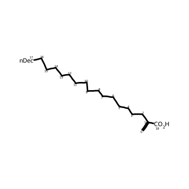 C=C(CCCCCCCCCCCCCCCCCCCCCCCCC)C(=O)O